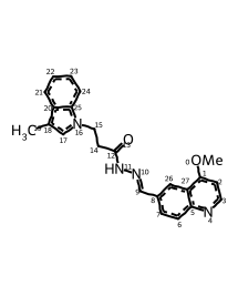 COc1ccnc2ccc(C=NNC(=O)CCn3cc(C)c4ccccc43)cc12